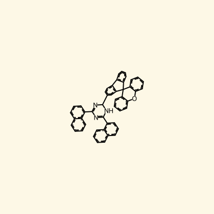 c1ccc2c(c1)Oc1ccccc1C21c2ccccc2-c2ccc(C3N=C(c4cccc5ccccc45)N=C(c4cccc5ccccc45)N3)cc21